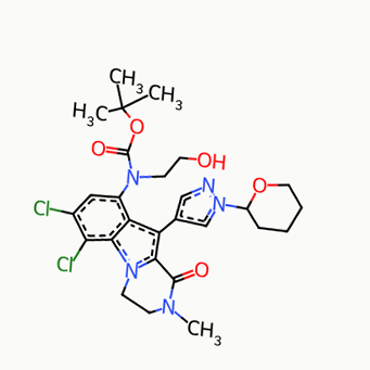 CN1CCn2c(c(-c3cnn(C4CCCCO4)c3)c3c(N(CCO)C(=O)OC(C)(C)C)cc(Cl)c(Cl)c32)C1=O